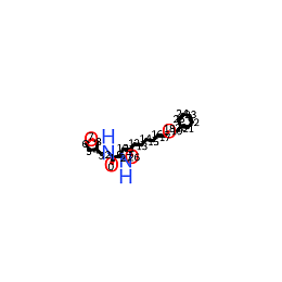 O=C(NCC1CCOC1)C1CC(CCCCCCOCc2ccccc2)ON1